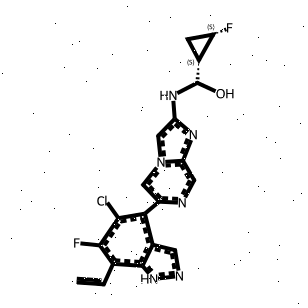 C=Cc1c(F)c(Cl)c(-c2cn3cc(NC(O)[C@@H]4C[C@@H]4F)nc3cn2)c2cn[nH]c12